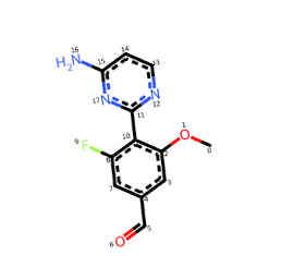 COc1cc(C=O)cc(F)c1-c1nccc(N)n1